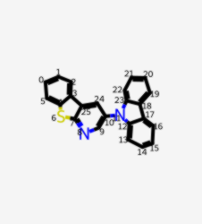 c1ccc2c(c1)sc1ncc(-n3c4ccccc4c4ccccc43)cc12